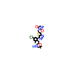 Cc1cc(Cl)cc(-c2ncnc3cc(CN4C(=O)CN(C)C4=O)sc23)c1CC1CNCC(C)(C)O1